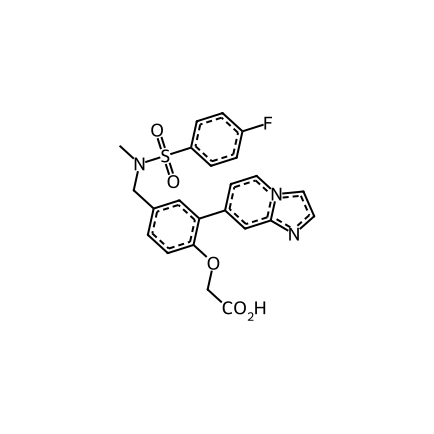 CN(Cc1ccc(OCC(=O)O)c(-c2ccn3ccnc3c2)c1)S(=O)(=O)c1ccc(F)cc1